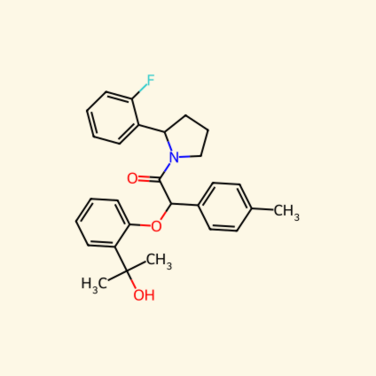 Cc1ccc(C(Oc2ccccc2C(C)(C)O)C(=O)N2CCCC2c2ccccc2F)cc1